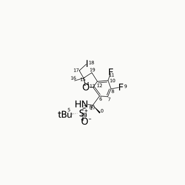 C[C@@H](N[S@+]([O-])C(C)(C)C)c1cc(F)c(F)c2c1OC(C)(CI)C2